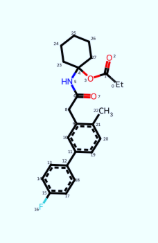 CCC(=O)OC1(NC(=O)Cc2cc(-c3ccc(F)cc3)ccc2C)CCCCC1